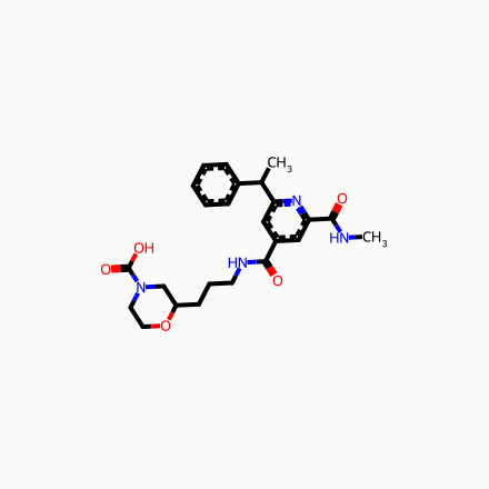 CNC(=O)c1cc(C(=O)NCCCC2CN(C(=O)O)CCO2)cc(C(C)c2ccccc2)n1